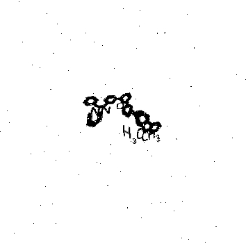 CC1(C)c2ccccc2-c2ccc(-c3ccc4oc5c(-c6cccc(-c7nc8ccccn8c7-c7ccccc7)c6)cccc5c4c3)cc21